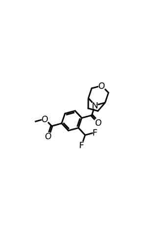 COC(=O)c1ccc(C(=O)N2C3CCC2COC3)c(C(F)F)c1